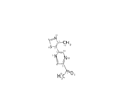 CC(=O)c1cnc(-c2scnc2C)cn1